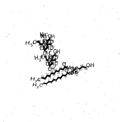 CCCCCCCCCCCC(N)=O.CCCCCCCCCCCC(N)=O.CCC[N+](C)(C)C(CCO)(CC(=O)O)C(=O)[O-].CCC[N+](C)(C)C(CCO)(CC(=O)O)C(=O)[O-].O=P([O-])([O-])OCCCO.[Na+].[Na+]